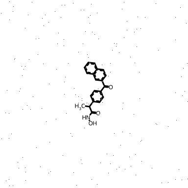 CC(C(=O)NO)c1ccc(C(=O)c2ccc3ccccc3c2)cc1